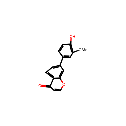 COc1cc(-c2ccc3c(=O)ccoc3c2)ccc1O